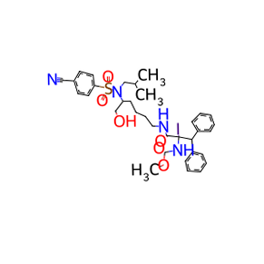 COC(=O)NC(I)(C(=O)NCCCCC(CO)N(CC(C)C)S(=O)(=O)c1ccc(C#N)cc1)C(c1ccccc1)c1ccccc1